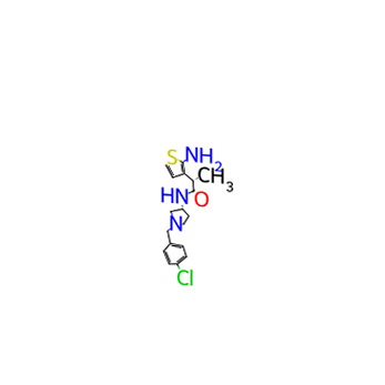 C[C@H](C(=O)N[C@@H]1CCN(Cc2ccc(Cl)cc2)C1)c1ccsc1N